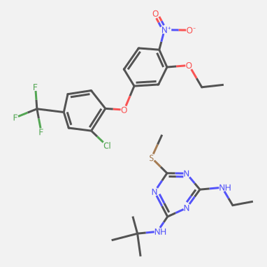 CCNc1nc(NC(C)(C)C)nc(SC)n1.CCOc1cc(Oc2ccc(C(F)(F)F)cc2Cl)ccc1[N+](=O)[O-]